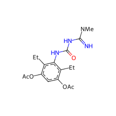 CCc1c(OC(C)=O)cc(OC(C)=O)c(CC)c1NC(=O)NC(=N)NC